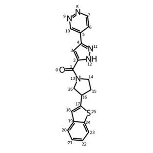 O=C(c1cc(-c2ccnnc2)n[nH]1)N1CCC(c2cc3ccccc3s2)C1